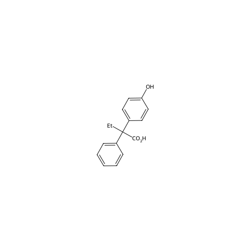 CCC(C(=O)O)(c1ccccc1)c1ccc(O)cc1